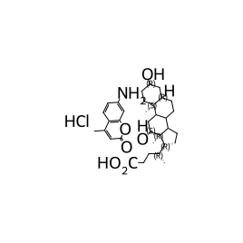 C[C@H](CCC(=O)O)[C@H]1CCC2C3CC[C@@H]4C[C@H](O)CC[C@]4(C)C3C[C@H](O)[C@@]21C.Cc1cc(=O)oc2cc(N)ccc12.Cl